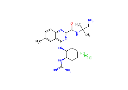 Cc1ccc2nc(C(=O)NC(C)(C)CN)nc(N[C@H]3CCCC[C@H]3NC(=N)N)c2c1.Cl.Cl.Cl